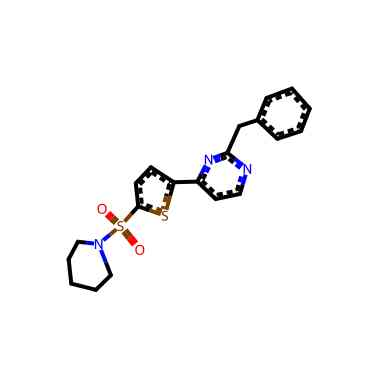 O=S(=O)(c1ccc(-c2ccnc(Cc3ccccc3)n2)s1)N1CCCCC1